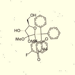 COC1(OC)[C@H](O)[C@@H](CO)O[C@]1(n1cc(F)c(=O)[nH]c1=O)C(c1ccccc1)(c1ccccc1)c1ccccc1